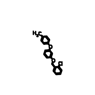 Cc1ccc(Oc2cccc(OCc3ccccc3Cl)c2)cc1